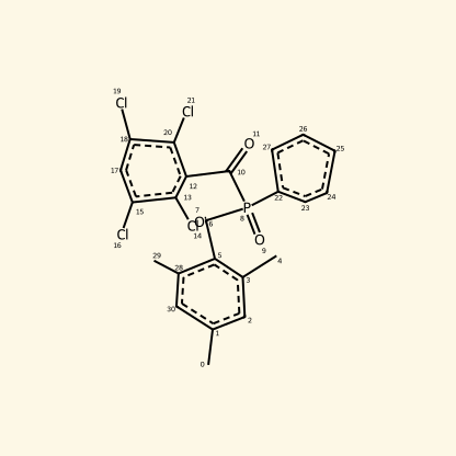 Cc1cc(C)c(C(=O)P(=O)(C(=O)c2c(Cl)c(Cl)cc(Cl)c2Cl)c2ccccc2)c(C)c1